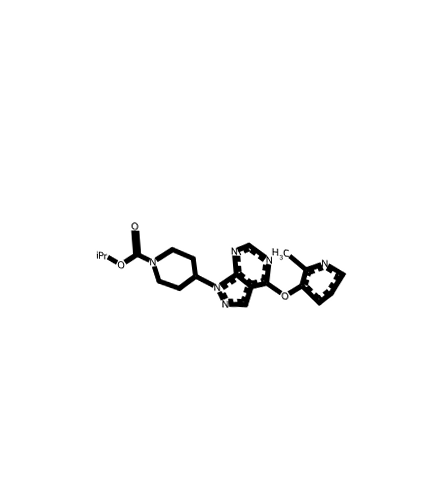 Cc1ncccc1Oc1ncnc2c1cnn2C1CCN(C(=O)OC(C)C)CC1